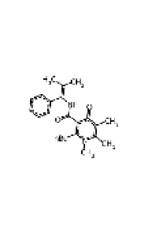 CCCCc1c(C(=O)NC(=C(C)C)c2ccccc2)c(=O)c(C)c(C)n1C